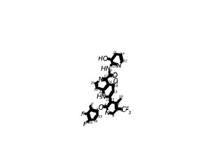 Cc1c(Oc2ncc(C(F)(F)F)c(C)c2-c2cc(=O)c3c(C(=O)Nc4ncccc4O)nccc3[nH]2)ccc(F)c1F